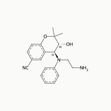 CC1(C)Oc2ccc(C#N)cc2[C@H](N(CCN)c2ccccc2)[C@H]1O